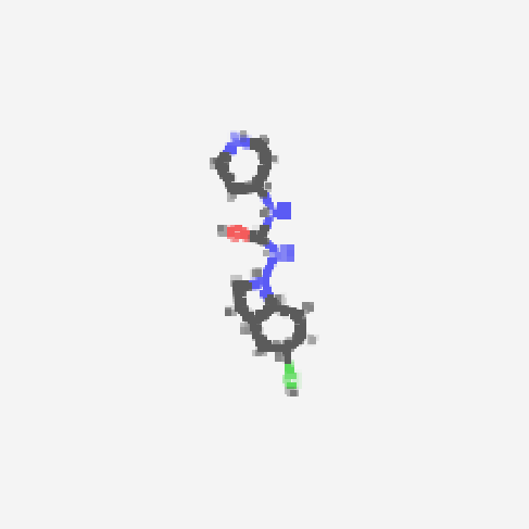 O=C(Nc1ccncc1)Nn1ccc2cc(Cl)ccc21